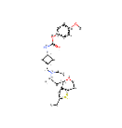 CCc1cc2c(s1)CCO[C@@]21CCN(C[C@H]2C[C@@H](NC(=O)Oc3ccc(OC)cc3)C2)[C@@H](C)C1